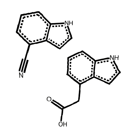 N#Cc1cccc2[nH]ccc12.O=C(O)Cc1cccc2[nH]ccc12